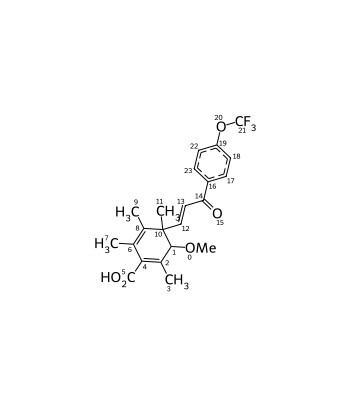 COC1C(C)=C(C(=O)O)C(C)=C(C)C1(C)C=CC(=O)c1ccc(OC(F)(F)F)cc1